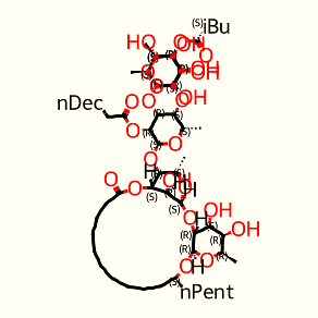 CCCCCCCCCCCC(=O)O[C@H]1[C@H](O[C@@H]2[C@H]3OC(=O)CCCCCCCCC[C@H](CCCCC)O[C@@H]4O[C@H](C)[C@H](O)[C@H](O)[C@H]4O[C@H](O[C@H]2C)[C@@H]3O)O[C@@H](C)[C@H](O[C@@H]2O[C@@H](C)[C@H](O)[C@@H](OC(=O)[C@@H](C)CC)[C@H]2O)[C@H]1O[C@@H]1O[C@@H](C)[C@H](O)[C@@H](O)[C@H]1O